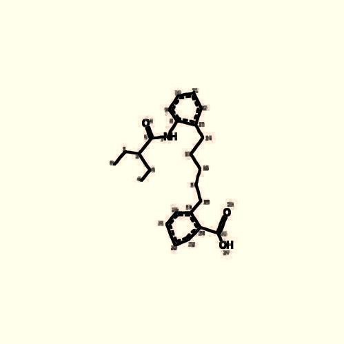 CCC(CC)C(=O)Nc1ccccc1CCCCCc1ccccc1C(=O)O